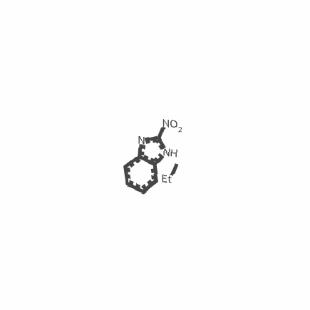 CCC.O=[N+]([O-])c1nc2ccccc2[nH]1